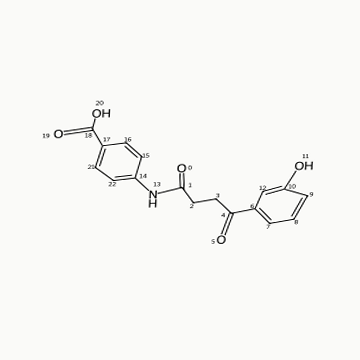 O=C(CCC(=O)c1cccc(O)c1)Nc1ccc(C(=O)O)cc1